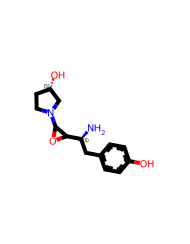 N[C@@H](Cc1ccc(O)cc1)C1OC1N1CC[C@H](O)C1